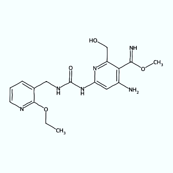 CCOc1ncccc1CNC(=O)Nc1cc(N)c(C(=N)OC)c(CO)n1